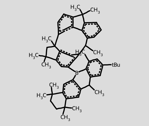 Cc1cc(C(C)(C)C)cc2c1B(c1cc3c4cc1C(C)c1cccc5c1-c1cc(ccc1C5(C)C)C4(C)CC3(C)C)c1cc3c(cc1C2C)C(C)(C)CCC3(C)C